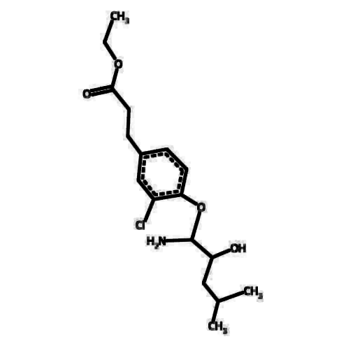 CCOC(=O)CCc1ccc(OC(N)C(O)CC(C)C)c(Cl)c1